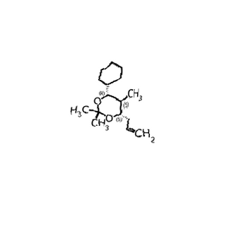 C=CC[C@@H]1OC(C)(C)O[C@H](C2CCCCC2)[C@H]1C